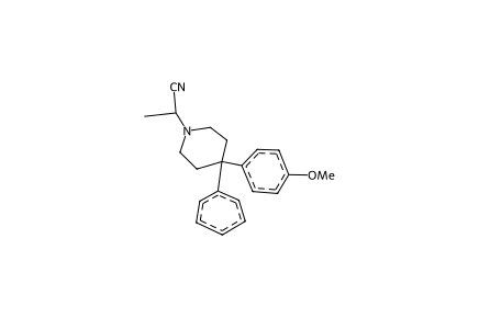 COc1ccc(C2(c3ccccc3)CCN(C(C)C#N)CC2)cc1